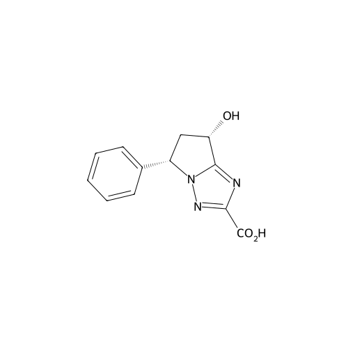 O=C(O)c1nc2n(n1)[C@H](c1ccccc1)C[C@@H]2O